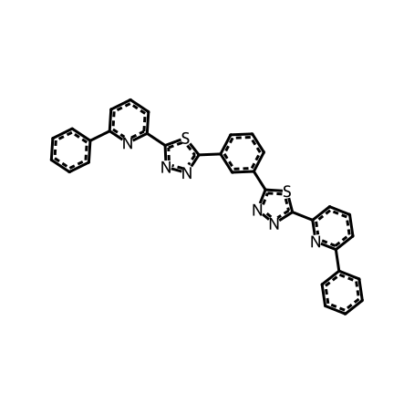 c1ccc(-c2cccc(-c3nnc(-c4cccc(-c5nnc(-c6cccc(-c7ccccc7)n6)s5)c4)s3)n2)cc1